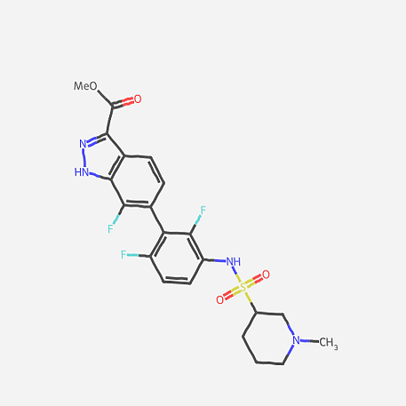 COC(=O)c1n[nH]c2c(F)c(-c3c(F)ccc(NS(=O)(=O)C4CCCN(C)C4)c3F)ccc12